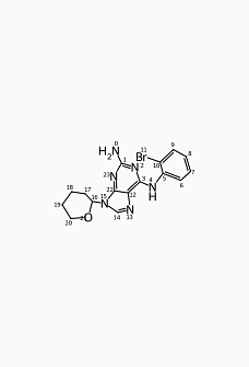 Nc1nc(Nc2ccccc2Br)c2ncn(C3CCCCO3)c2n1